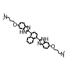 CN(C)CCCOc1ccc2nc(-c3ccc(-c4nc5ccc(OCCCN(C)C)cc5[nH]4)c4ccccc34)[nH]c2c1